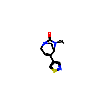 CN1C(=O)N2CC=C(c3cnsc3)C1C2